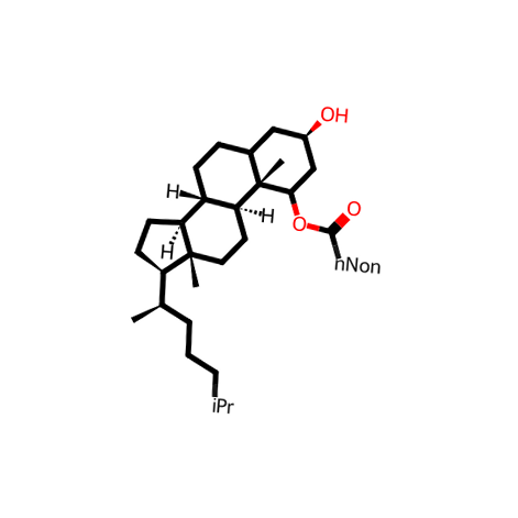 CCCCCCCCCC(=O)OC1C[C@H](O)CC2CC[C@@H]3[C@H](CC[C@]4(C)[C@@H]([C@H](C)CCCC(C)C)CC[C@@H]34)[C@]21C